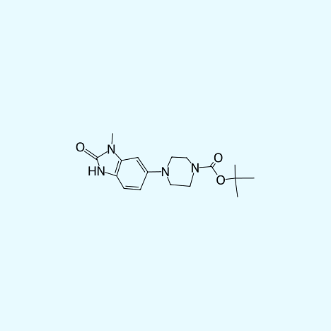 Cn1c(=O)[nH]c2ccc(N3CCN(C(=O)OC(C)(C)C)CC3)cc21